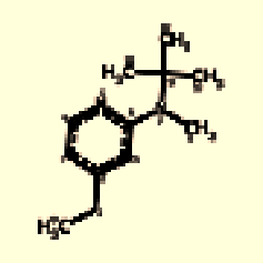 CCc1ccnc(N(C)C(C)(C)C)c1